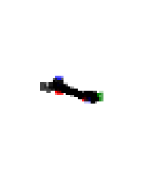 CC(C)CNC(=O)/C=C/C=C/CCCCCCCOc1ccc2cc(Cl)ccc2n1